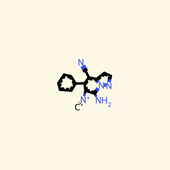 [C-]#[N+]c1c(-c2ccccc2)c(C#N)c2ccnn2c1N